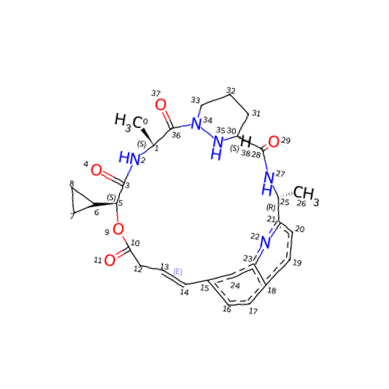 C[C@@H]1NC(=O)[C@H](C2CC2)OC(=O)C/C=C/c2ccc3ccc(nc3c2)[C@@H](C)NC(=O)[C@@H]2CCCN(N2)C1=O